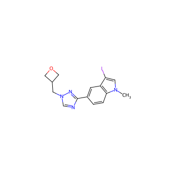 Cn1cc(I)c2cc(-c3ncn(CC4COC4)n3)ccc21